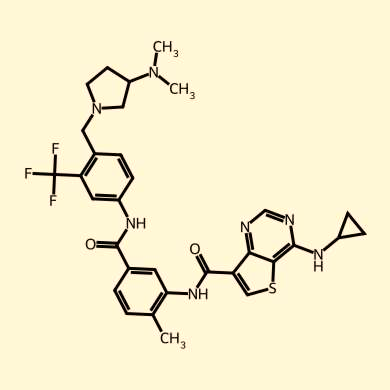 Cc1ccc(C(=O)Nc2ccc(CN3CCC(N(C)C)C3)c(C(F)(F)F)c2)cc1NC(=O)c1csc2c(NC3CC3)ncnc12